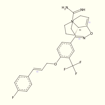 N=C(N)N1CCC[C@H]1/C1=C\CCC/C(c2ccc(OC/C=C/c3ccc(F)cc3)c(C(F)(F)F)c2)=N\O1